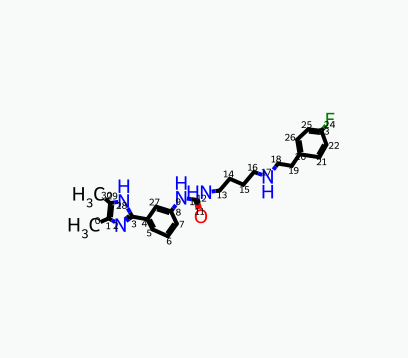 Cc1nc(-c2cccc(NC(=O)NCCCCNCCc3ccc(F)cc3)c2)[nH]c1C